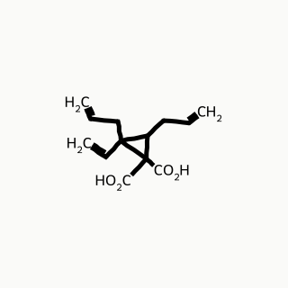 C=CCC1C(C=C)(CC=C)C1(C(=O)O)C(=O)O